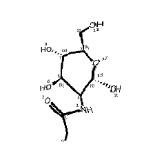 CC(=O)NC1[C@@H](O)[C@H](O)[C@@H](CO)O[C@@H]1O